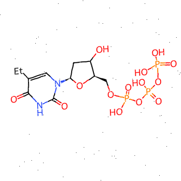 CCc1cn([C@H]2CC(O)[C@@H](COP(=O)(O)OP(=O)(O)OP(=O)(O)O)O2)c(=O)[nH]c1=O